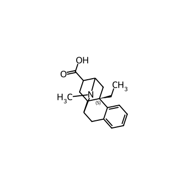 CC[C@]12CC3C(C(=O)O)CC1C(Cc1ccccc12)N3C